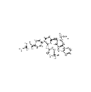 CCc1cc(Nc2nc(NC3CCOCC34CC4)c(-c3ccccn3)nc2C(N)=O)ccc1N1CCC(N2CCN(C)CC2)CC1